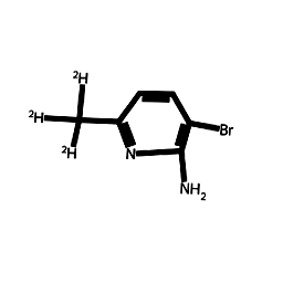 [2H]C([2H])([2H])c1ccc(Br)c(N)n1